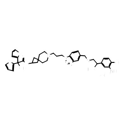 O=CNc1cc(C(O)CNCc2ccc3c(c2)nnn3CCCN2CCC3(CC2)CC(OC(=O)C(O)(c2cccs2)c2cccs2)C3)ccc1O